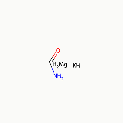 NC=O.[KH].[MgH2]